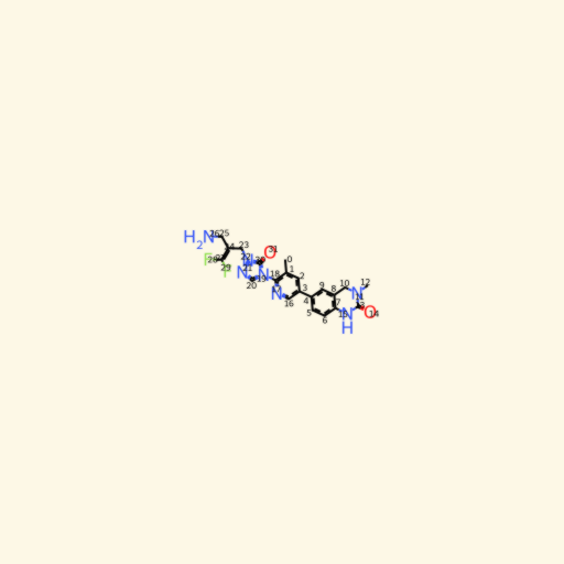 Cc1cc(-c2ccc3c(c2)CN(C)C(=O)N3)cnc1-n1cnn(CC(CN)=C(F)F)c1=O